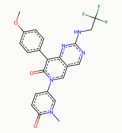 COc1ccc(-c2c(=O)n(-c3ccc(=O)n(C)c3)cc3cnc(NCC(F)(F)F)nc23)cc1